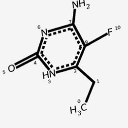 CCc1[nH]c(=O)nc(N)c1F